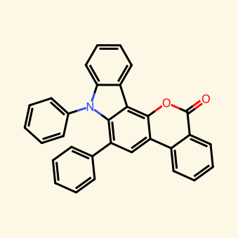 O=c1oc2c(cc(-c3ccccc3)c3c2c2ccccc2n3-c2ccccc2)c2ccccc12